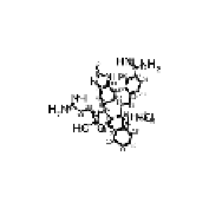 Cc1nc2cc(C(c3cc4ccccc4nc3CCc3ccc(C(=N)N)cc3)N(CCC(=N)N)C(=O)O)ccc2[nH]1.Cl.Cl